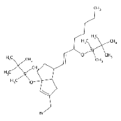 CCCCCC(/C=C/C1CCC2(O[Si](C)(C)C(C)(C)C)C=C(CBr)CC12)O[Si](C)(C)C(C)(C)C